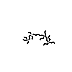 CCC[N+](CCC)(CCC)CC[N+](CCC)(CCC)CCCCC[N+](CC)(CC)CC[N+](CC)(CC)CC